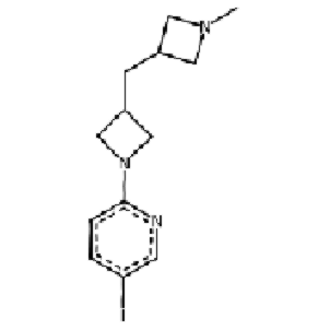 CN1CC(CC2CN(c3ccc(I)cn3)C2)C1